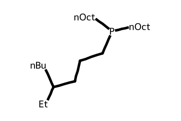 CCCCCCCCP(CCCCCCCC)CCCC(CC)CCCC